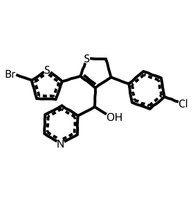 OC(C1=C(c2ccc(Br)s2)SCC1c1ccc(Cl)cc1)c1cccnc1